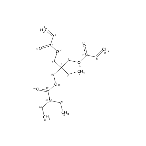 C=CC(=O)OCC(CC)(COC(=O)C=C)COC(=O)N(CC)CC